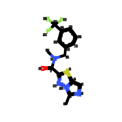 Cc1ncc2sc(C(=O)N(C)Cc3cccc(C(F)(F)F)c3)nn12